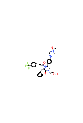 CC(=O)N1CCN(c2ccc(CN(C(=O)C=Cc3ccc(C(F)(F)F)cc3)[C@@H](Cc3ccccc3)C(=O)N(C)CCO)cc2)CC1